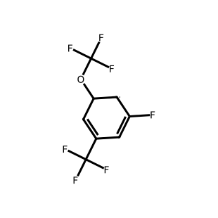 FC1=CC(C(F)(F)F)=CC(OC(F)(F)F)[CH]1